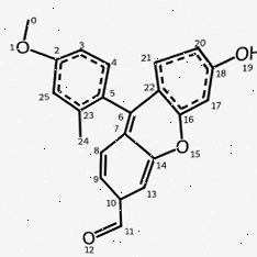 COc1ccc(C2=C3C=CC(C=O)C=C3Oc3cc(O)ccc32)c(C)c1